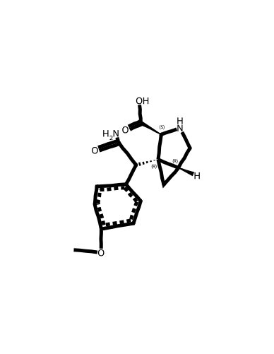 COc1ccc(C(C(N)=O)[C@@]23C[C@H]2CN[C@@H]3C(=O)O)cc1